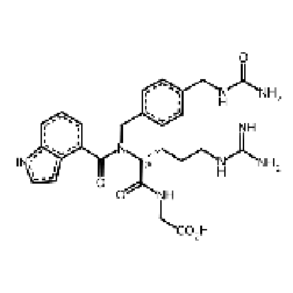 N=C(N)NCCC[C@H](C(=O)NCC(=O)O)N(Cc1ccc(CNC(N)=O)cc1)C(=O)c1cccc2[nH]ccc12